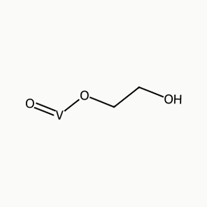 [O]=[V][O]CCO